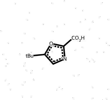 CC(C)(C)c1cnc(C(=O)O)o1